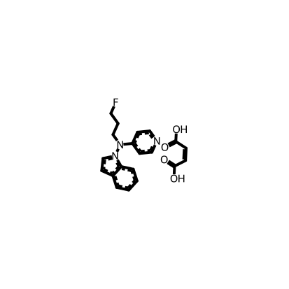 FCCCN(c1ccncc1)n1ccc2ccccc21.O=C(O)/C=C\C(=O)O